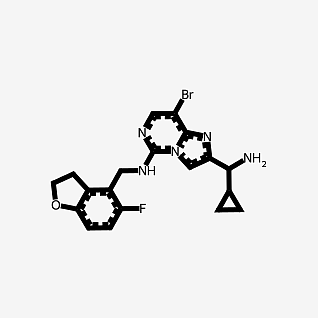 NC(c1cn2c(NCc3c(F)ccc4c3CCO4)ncc(Br)c2n1)C1CC1